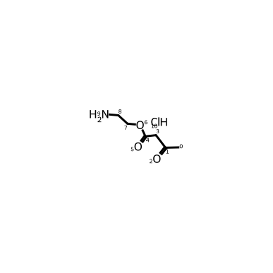 CC(=O)CC(=O)OCCN.Cl